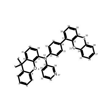 CC1(C)c2ccccc2Oc2c(N(c3ccc(-c4cccc5c4Oc4ccccc4S5)cc3)c3cccnc3)cccc21